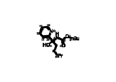 CCCCOC(=O)N[C@](O)(CCC(C)C)c1ccccn1